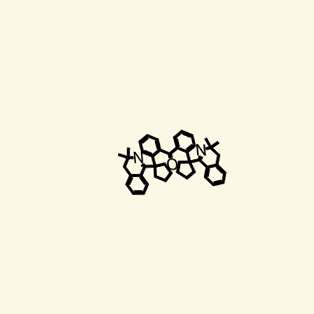 CC1(C)Cc2ccccc2C(C2(c3ccccc3C(=O)c3ccccc3C3(C4=NC(C)(C)Cc5ccccc54)CCCC3)CCCC2)=N1